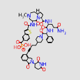 CN1CC[C@H]2CC[C@@H](C(=O)NC(CCC(N)=O)C(=O)NC(C(=O)N3CCC(CCC#Cc4cccc5c4CN(C4CCC(=O)NC4=O)C5=O)CC3)c3ccccc3)N2C(=O)[C@@H](NC(=O)c2cc3cc(C(=O)P(=O)(O)O)ccc3s2)C1